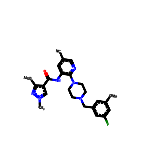 COc1cc(F)cc(CN2CCN(c3ncc(C#N)cc3NC(=O)c3cn(C)nc3OC)CC2)c1